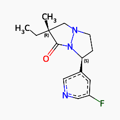 CC[C@]1(C)CN2CC[C@@H](c3cncc(F)c3)N2C1=O